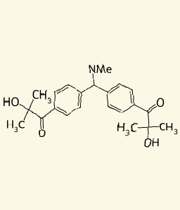 CNC(c1ccc(C(=O)C(C)(C)O)cc1)c1ccc(C(=O)C(C)(C)O)cc1